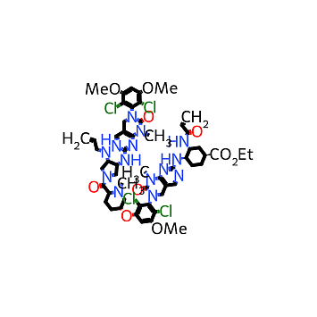 C=CCNC1CN(C(=O)C2CCC(Oc3cc(OC)c(Cl)c(N4Cc5cnc(N[C@@H]6CC[C@@H](C(=O)OCC)C[C@@H]6NC(=O)C=C)nc5N(C)C4=O)c3Cl)CN2C)CC1Nc1ncc2c(n1)N(C)C(=O)N(c1c(Cl)c(OC)cc(OC)c1Cl)C2